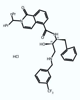 CCCC(CCC)n1ccc2c(C(=O)N[C@@H](Cc3ccccc3)[C@H](O)CNCc3cccc(C(F)(F)F)c3)cccc2c1=O.Cl